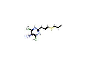 CCCSC=CCc1nc(Cl)c(N)c(Cl)n1